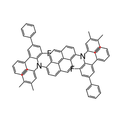 Cc1ccc(N(c2c(F)cc(-c3ccccc3)cc2-c2ccccc2)c2ccc3ccc4c(N(c5ccc(C)c(C)c5)c5c(F)cc(-c6ccccc6)cc5-c5ccccc5)ccc5ccc2c3c54)cc1C